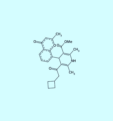 COC(=O)C1=C(C)NC(C)=C(C(=O)CC2CCC2)C1c1cccc2c(=O)cc(C)oc12